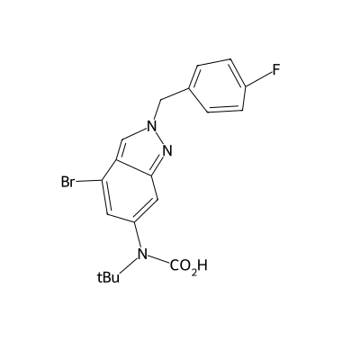 CC(C)(C)N(C(=O)O)c1cc(Br)c2cn(Cc3ccc(F)cc3)nc2c1